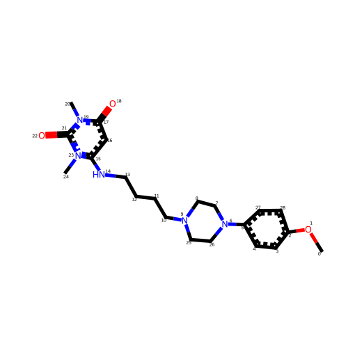 COc1ccc(N2CCN(CCCCNc3cc(=O)n(C)c(=O)n3C)CC2)cc1